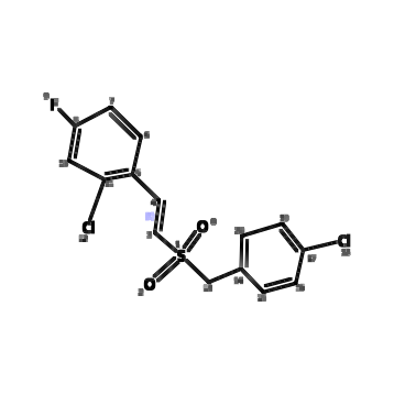 O=S(=O)(/C=C/c1ccc(F)cc1Cl)Cc1ccc(Cl)cc1